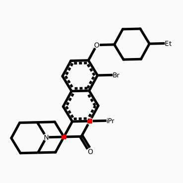 CCC1CCC(Oc2ccc3cc(CN4C5CCCC4CC(C(=O)OC(C)C)C5)ncc3c2Br)CC1